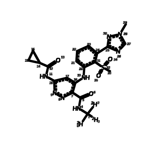 [2H]C([2H])([2H])NC(=O)c1nnc(NC(=O)C2CC2)cc1Nc1cccc(-c2ncn(C)n2)c1S(C)(=O)=O